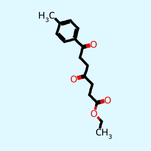 CCOC(=O)CCC(=O)CCC(=O)c1ccc(C)cc1